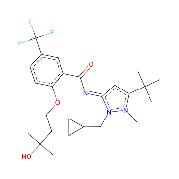 Cn1c(C(C)(C)C)cc(=NC(=O)c2cc(C(F)(F)F)ccc2OCCC(C)(C)O)n1CC1CC1